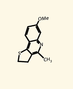 COc1ccc2c3c(c(C)nc2c1)CCS3